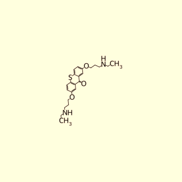 CCNCCCOc1ccc2sc3ccc(OCCCNCC)cc3c(=O)c2c1